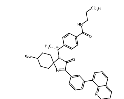 C[C@H](c1ccc(C(=O)NCCC(=O)O)cc1)N1C(=O)C(c2cccc(-c3cccc4cccnc34)c2)=NC12CCC(C(C)(C)C)CC2